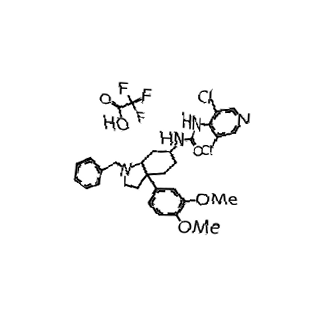 COc1ccc(C23CCC(NC(=O)Nc4c(Cl)cncc4Cl)CC2N(Cc2ccccc2)CC3)cc1OC.O=C(O)C(F)(F)F